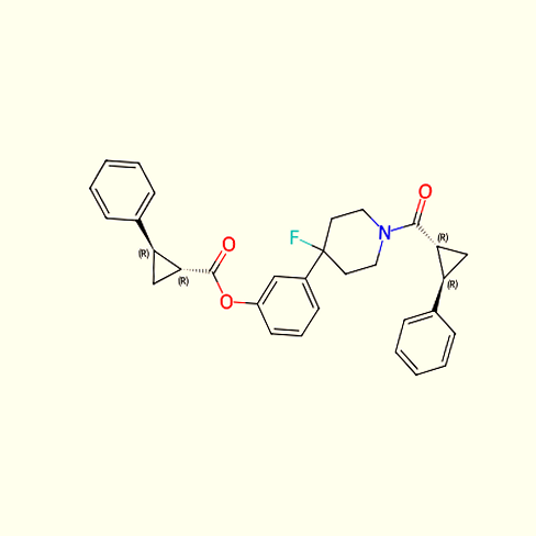 O=C(Oc1cccc(C2(F)CCN(C(=O)[C@@H]3C[C@H]3c3ccccc3)CC2)c1)[C@@H]1C[C@H]1c1ccccc1